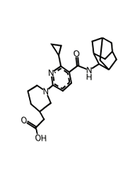 O=C(O)CC1CCCN(c2ccc(C(=O)NC3C4CC5CC(C4)CC3C5)c(C3CC3)n2)C1